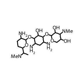 CNC(C)C1CCC(N)C(OC2C(N)CC(N)C(OC3OCC(O)C(NC)C3O)C2O)O1